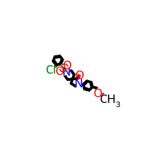 CCOCc1ccc(N2CCC3(CCN(S(=O)(=O)c4ccccc4Cl)CC3)C2=O)cc1